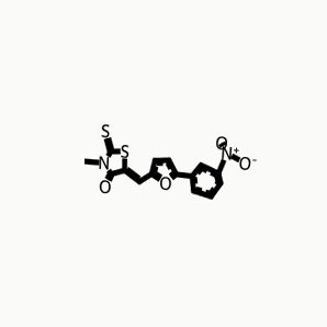 CN1C(=O)C(=Cc2ccc(-c3cccc([N+](=O)[O-])c3)o2)SC1=S